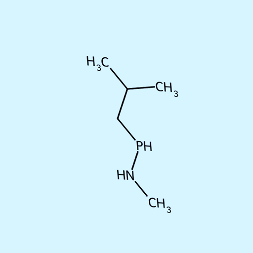 CNPCC(C)C